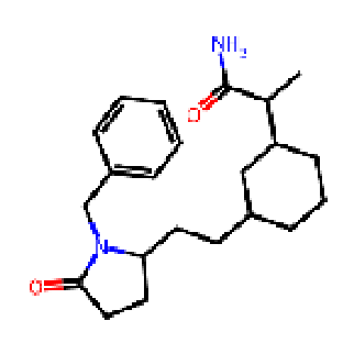 CC(C(N)=O)C1CCCC(CCC2CCC(=O)N2Cc2ccccc2)C1